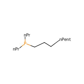 CCCCCCCCP(CCC)CCC